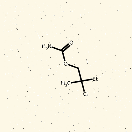 CCC(C)(Cl)COC(N)=O